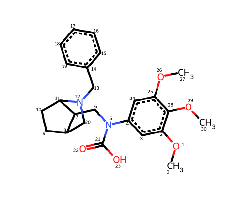 COc1cc(N(CC2C3CCC2N(Cc2ccccc2)C3)C(=O)O)cc(OC)c1OC